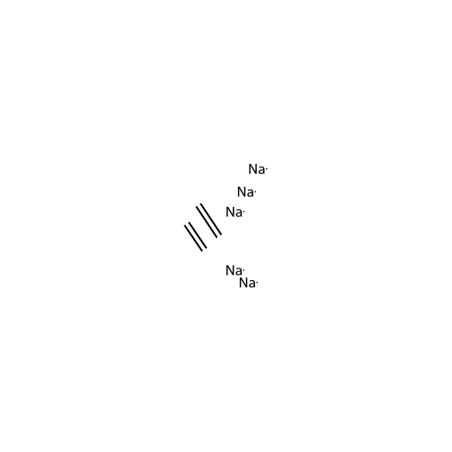 C=C.C=C.[Na].[Na].[Na].[Na].[Na]